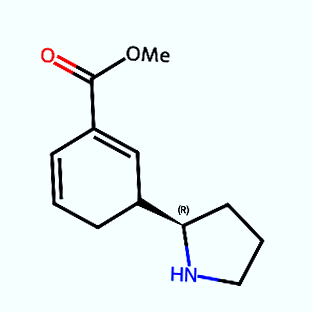 COC(=O)C1=CC([C@H]2CCCN2)CC=C1